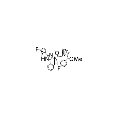 C=C(C(OC)c1ccc(F)cc1)N(CC(=O)Nc1nc(-c2ccc(F)s2)[nH]c1-c1ccccc1)C(C)C